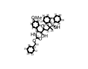 COc1ccc([C@@H](NC(=O)OCc2ccccc2)[C@H](O)C(=O)CC(C)(C)[Si](O)(c2ccccc2)c2ccccc2)cc1